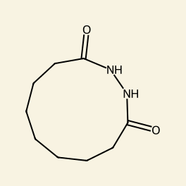 O=C1CCCCCCCC(=O)NN1